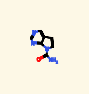 NC(=O)n1ccc2cncnc21